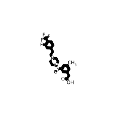 Cc1cc(CC(=O)O)cc([S+]([O-])N2CCN(CCc3ccc(C(F)(F)F)c(F)c3)CC2)c1